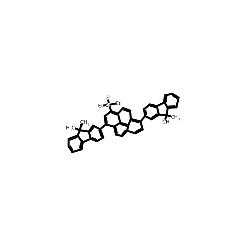 CC[Si](CC)(CC)c1cc(-c2ccc3c(c2)C(C)(C)c2ccccc2-3)c2ccc3ccc(-c4ccc5c(c4)C(C)(C)c4ccccc4-5)c4ccc1c2c34